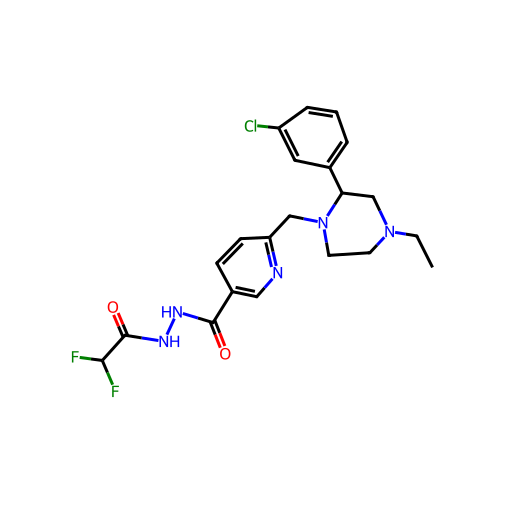 CCN1CCN(Cc2ccc(C(=O)NNC(=O)C(F)F)cn2)C(c2cccc(Cl)c2)C1